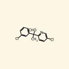 CC(C=O)(c1cccc(Cl)c1)c1ccc(Cl)cn1